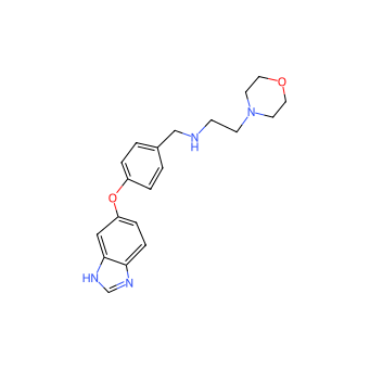 c1nc2ccc(Oc3ccc(CNCCN4CCOCC4)cc3)cc2[nH]1